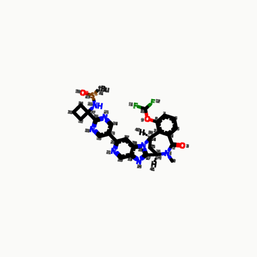 CN1C(=O)c2cccc(OC(F)F)c2[C@H]2C[C@@H]1c1nc3cnc(-c4cnc(C5(N[S+]([O-])C(C)(C)C)CCC5)nc4)cc3n12